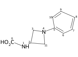 O=C(O)NC1CN(c2ccccc2)C1